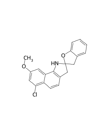 COc1cc(Cl)c2ccc3c(c2c1)NC1(Cc2ccccc2O1)C3